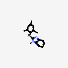 Cc1cc(C)c([Se]c2nc3ccccc3n2C)c(C)c1